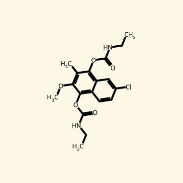 CCNC(=O)Oc1c(C)c(OC)c(OC(=O)NCC)c2ccc(Cl)cc12